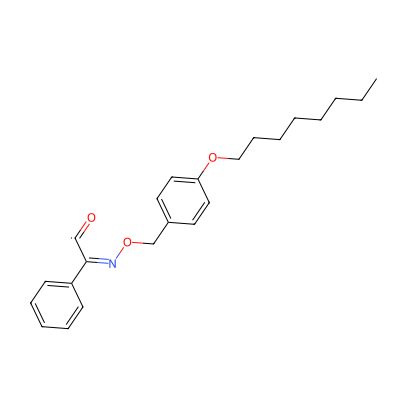 CCCCCCCCOc1ccc(CON=C([C]=O)c2ccccc2)cc1